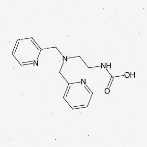 O=C(O)NCCN(Cc1ccccn1)Cc1ccccn1